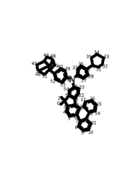 CC1(C)c2ccc(-c3ccccc3-c3ccccc3)cc2-c2ccc(N(c3ccc(C4CCCCC4)cc3)c3ccc(C45CC6CC(CC(C6)C4)C5)cc3)cc21